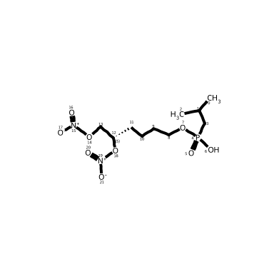 CC(C)CP(=O)(O)OCCCC[C@@H](CO[N+](=O)[O-])O[N+](=O)[O-]